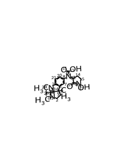 CN1CC[C@@]2(C)c3cc(N(C(=O)O)[C@H]4CCN(O)C4=O)ccc3N(C)[C@@H]12